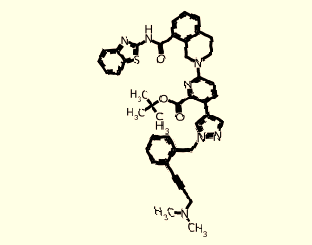 CN(C)CC#Cc1ccccc1Cn1cc(-c2ccc(N3CCc4cccc(C(=O)Nc5nc6ccccc6s5)c4C3)nc2C(=O)OC(C)(C)C)cn1